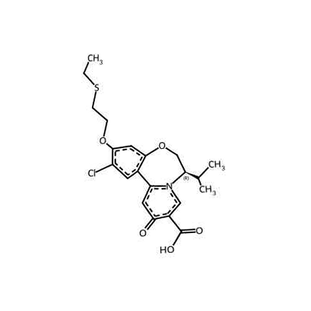 CCSCCOc1cc2c(cc1Cl)-c1cc(=O)c(C(=O)O)cn1[C@H](C(C)C)CO2